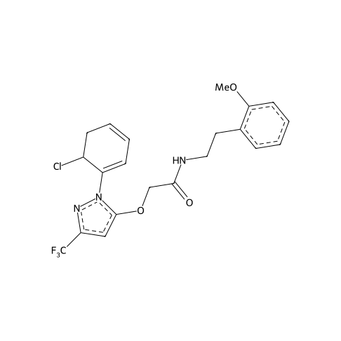 COc1ccccc1CCNC(=O)COc1cc(C(F)(F)F)nn1C1=CC=CCC1Cl